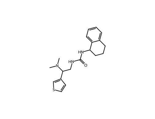 CN(C)C(CNC(=O)NC1CCCc2ccccc21)c1ccsc1